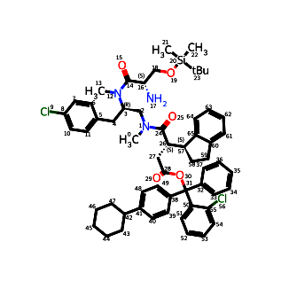 CN(C[C@@H](Cc1ccc(Cl)cc1)N(C)C(=O)[C@@H](N)CO[Si](C)(C)C(C)(C)C)C(=O)[C@@H](CC(=O)OC(c1ccccc1)(c1ccc(C2CCCCC2)cc1)c1ccccc1Cl)[C@@H]1CCc2ccccc21